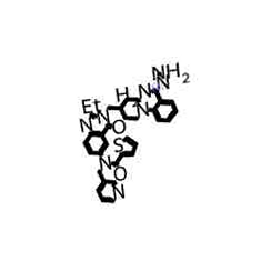 CCc1nc2ccc(N(Cc3cccnc3)C(=O)c3cccs3)cc2c(=O)n1CC1CCN(c2ccccc2/C(N)=N/N)CC1